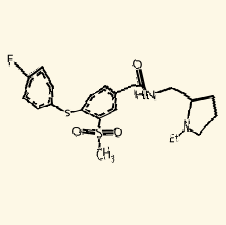 CCN1CCCC1CNC(=O)c1ccc(Sc2ccc(F)cc2)c(S(C)(=O)=O)c1